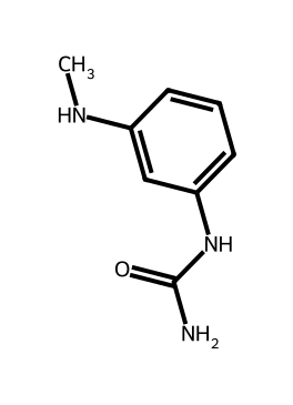 CNc1cccc(NC(N)=O)c1